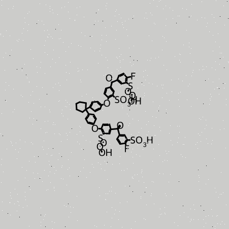 O=C(c1ccc(Oc2ccc(C3(c4ccc(Oc5ccc(C(=O)c6ccc(F)c(SOOO)c6)cc5S(=O)(=O)O)cc4)CCCCC3)cc2)c(SOOO)c1)c1ccc(F)c(S(=O)(=O)O)c1